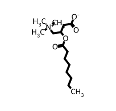 CCCCCCCC(=O)OC(CC(=O)[O-])C[N+](C)(C)C